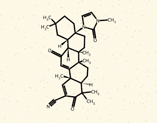 Cn1ccn([C@]23CCC(C)(C)C[C@H]2[C@H]2C(=O)C=C4[C@@]5(C)C=C(C#N)C(=O)C(C)(C)[C@@H]5CC[C@@]4(C)[C@]2(C)CC3)c1=O